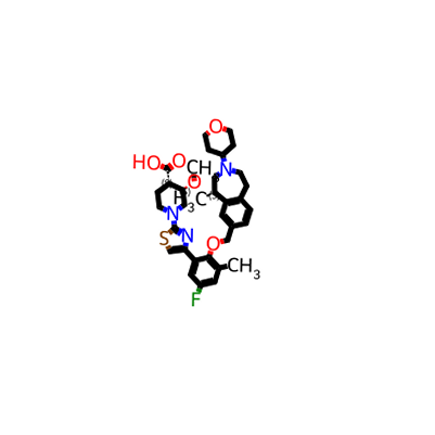 CO[C@@H]1CN(c2nc(-c3cc(F)cc(C)c3OCc3ccc4c(c3)[C@H](C)CN(C3CCOCC3)CC4)cs2)CC[C@@H]1C(=O)O